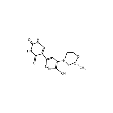 C[C@@H]1CN(c2cc(-c3c[nH]c(=O)[nH]c3=O)nnc2C#N)CCO1